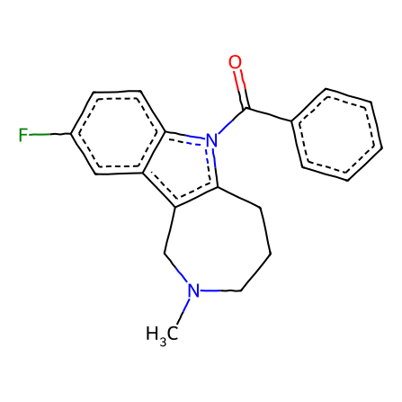 CN1CCCc2c(c3cc(F)ccc3n2C(=O)c2ccccc2)C1